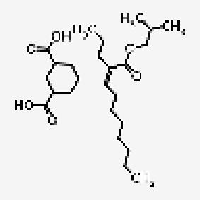 CCCCCCCC=C(CCC)C(=O)OCC(C)C.O=C(O)C1CCCC(C(=O)O)C1